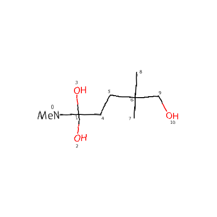 CNC(O)(O)CCC(C)(C)CO